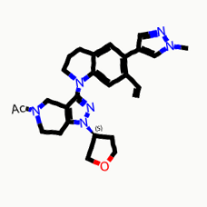 C=Cc1cc2c(cc1-c1cnn(C)c1)CCCN2c1nn([C@H]2CCOC2)c2c1CN(C(C)=O)CC2